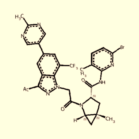 CC(=O)c1nn(CC(=O)N2[C@H]3C[C@@]3(C)C[C@H]2C(=O)Nc2nc(Br)ccc2C)c2c(C(F)(F)F)cc(-c3cnc(C)nc3)cc12